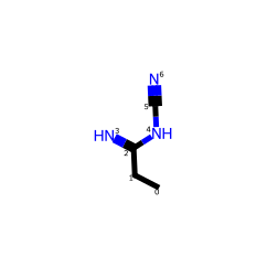 CCC(=N)NC#N